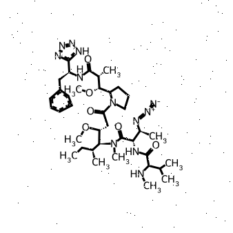 CC[C@H](C)[C@@H]([C@@H](CC(=O)N1CCCC1[C@H](OC)[C@@H](C)C(=O)N[C@@H](Cc1ccccc1)c1nnn[nH]1)OC)N(C)C(=O)[C@@H](NC(=O)C(NC)C(C)C)[C@H](C)N=[N+]=[N-]